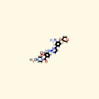 COc1cc(Nc2nccc(-c3ccc(OC4CCOCC4)c(N)c3)n2)ccc1C(=O)N1CCN(C)CC1